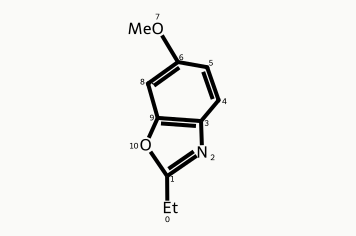 CCc1nc2ccc(OC)[c]c2o1